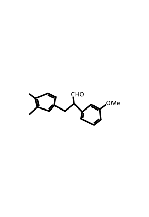 COc1cccc(C(C=O)Cc2ccc(C)c(C)c2)c1